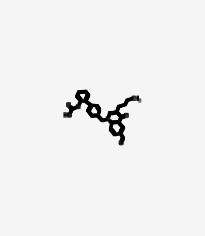 CCCCc1cn(Cc2ccc(-c3ccccc3OC(=O)O)cc2)c2ccc(C=O)cc2c1=O